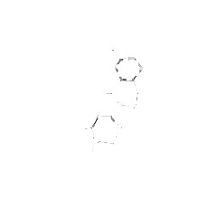 CC1=CC(N2CCc3ccc(Cl)cc3C2C)=NC(Cl)N1C